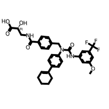 COc1cc(NC(=O)N(Cc2ccc(C(=O)NC[C@@H](O)C(=O)O)cc2)c2ccc(C3=CCCCC3)cc2)cc(C(F)(F)F)c1